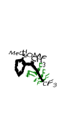 CO[SiH](OC)c1ccccc1C(C)C(F)(F)C(F)(F)C(F)(F)C(F)(F)F